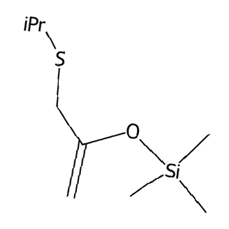 C=C(CSC(C)C)O[Si](C)(C)C